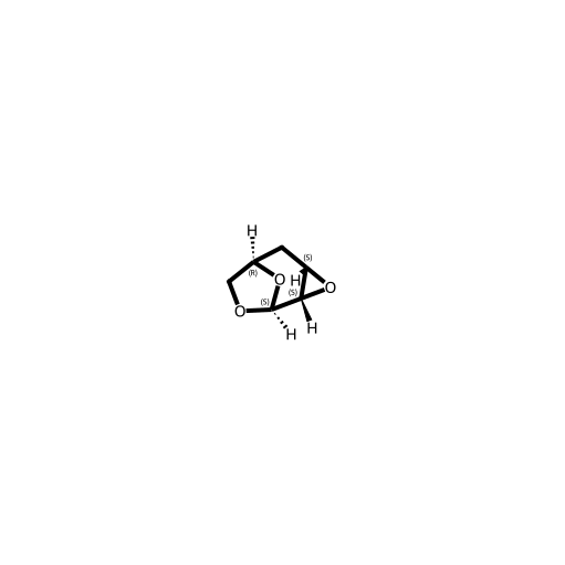 C1O[C@H]2O[C@@H]1C[C@@H]1O[C@H]21